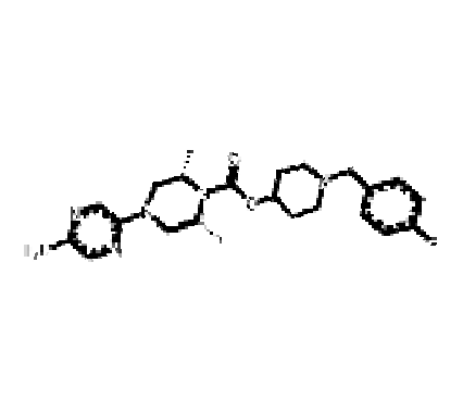 C[C@@H]1CN(c2cnc(C(F)(F)F)cn2)C[C@H](C)N1C(=O)OC1CCN(Cc2ccc(F)cc2)CC1